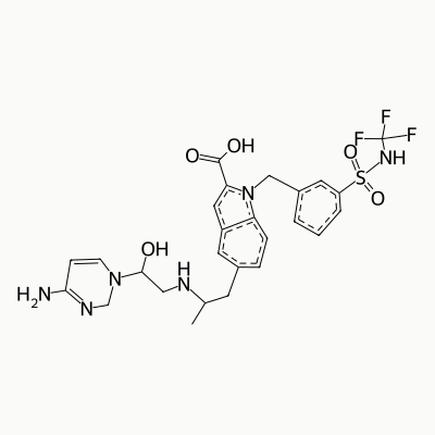 CC(Cc1ccc2c(c1)cc(C(=O)O)n2Cc1cccc(S(=O)(=O)NC(F)(F)F)c1)NCC(O)N1C=CC(N)=NC1